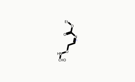 CCOC(=O)/N=C\CONC=O